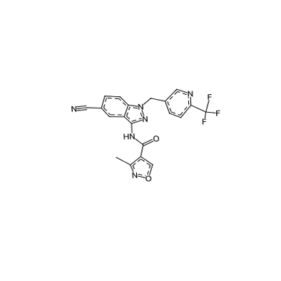 Cc1nocc1C(=O)Nc1nn(Cc2ccc(C(F)(F)F)nc2)c2ccc(C#N)cc12